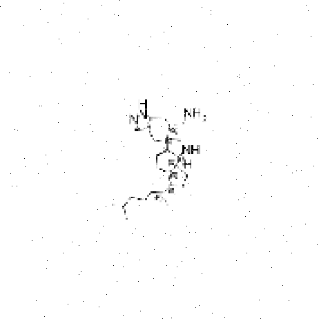 CN[C@H]1[C@H]2CC[C@H]([C@H](C)CCCC(C)C)[C@@]2(C)CC[C@H]1[C@]1(C)Cc2cn[nH]c2C[C@@H]1CN